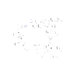 COc1cc2cc(c1Cl)N(C)C(=O)CC(OC(=O)[C@H](C)C(C)C)C1(C)OC1C(C)C1CC(O)(NC(=O)O1)C(OC)/C=C/C=C(\C)C2